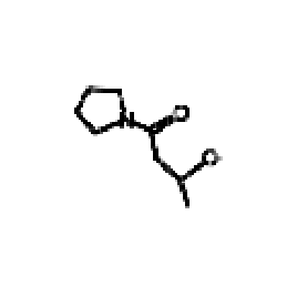 CC([O])CC(=O)N1CCCC1